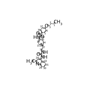 CCCCOc1ccc(S(=O)(=O)NC2CCN(CCNC(=O)Nc3cc(C)nc4ccccc34)CC2)cc1